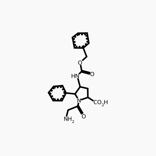 NCC(=O)N1C(C(=O)O)CC(NC(=O)OCc2ccccc2)C1c1ccccc1